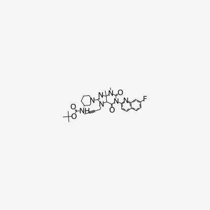 CC#CCN1C(N2CCC[C@@H](NC(=O)OC(C)(C)C)C2)=NC2(C)C1C(=O)N(c1ccc3ccc(F)cc3n1)C(=O)N2C